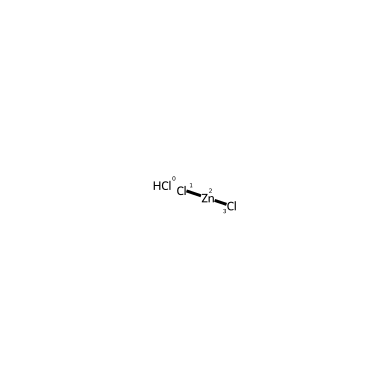 Cl.[Cl][Zn][Cl]